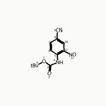 CC(C)(C)OC(=O)Nc1ccc(C#N)cc1N=O